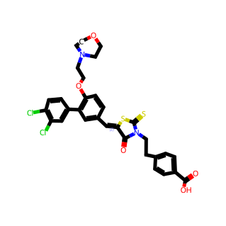 O=C(O)c1ccc(CCN2C(=O)/C(=C/c3ccc(OCCN4CCOCC4)c(-c4ccc(Cl)c(Cl)c4)c3)SC2=S)cc1